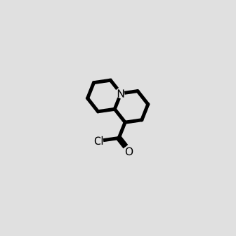 O=C(Cl)C1CCCN2CCCCC12